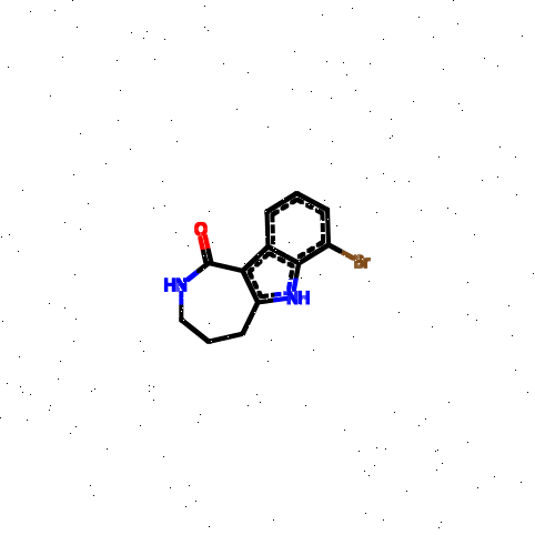 O=C1NCCCc2[nH]c3c(Br)cccc3c21